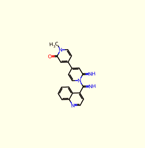 Cn1ccc(-c2ccn(C(=N)c3ccnc4ccccc34)c(=N)c2)cc1=O